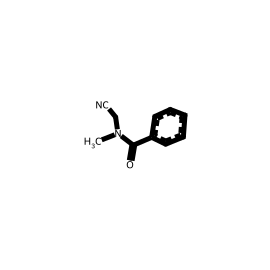 CN(CC#N)C(=O)c1ccccc1